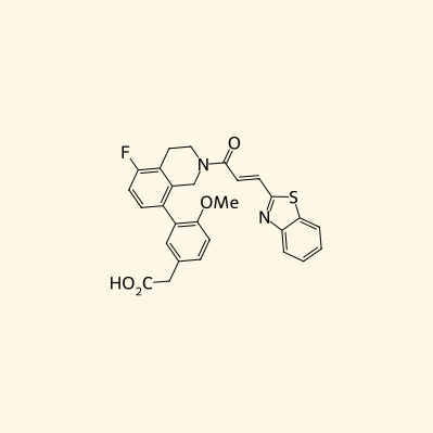 COc1ccc(CC(=O)O)cc1-c1ccc(F)c2c1CN(C(=O)C=Cc1nc3ccccc3s1)CC2